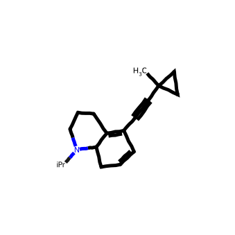 CC(C)N1CCCC2=C(C#CC3(C)CC3)C=CCC21